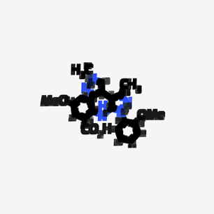 COc1ccc(Nc2c(-c3cnn(C)c3)c(C)nn2-c2ccccc2OC)c(C(=O)O)c1